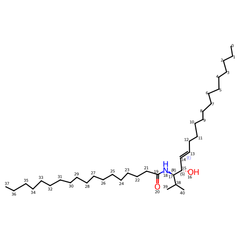 CCCCCCCCCCCCC/C=C/[C@H](O)[C@H](NC(=O)CCCCCCCCCCCCCCCCC)C(C)C